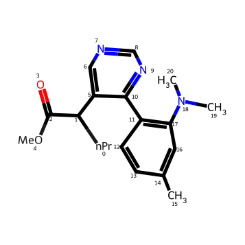 CCCC(C(=O)OC)c1cncnc1-c1ccc(C)cc1N(C)C